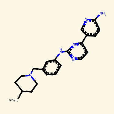 CCCCCC1CCN(Cc2cccc(Nc3nccc(-c4ccc(N)nc4)n3)c2)CC1